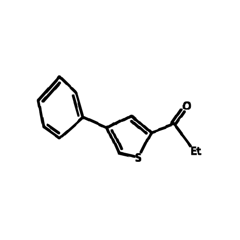 CCC(=O)c1cc(-c2ccccc2)cs1